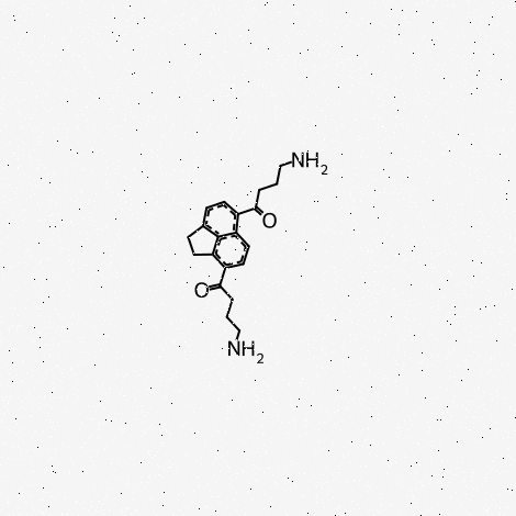 NCCCC(=O)c1ccc2c(C(=O)CCCN)ccc3c2c1CC3